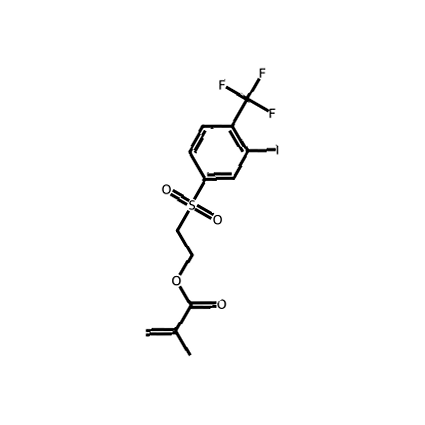 C=C(C)C(=O)OCCS(=O)(=O)c1ccc(C(F)(F)F)c(I)c1